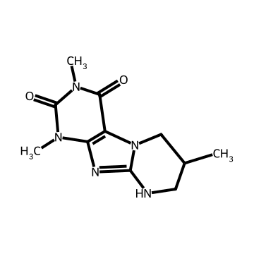 CC1CNc2nc3c(c(=O)n(C)c(=O)n3C)n2C1